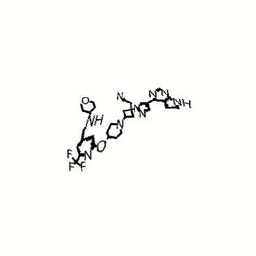 N#CCC1(n2cc(-c3ncnc4[nH]ccc34)cn2)CC(N2CCC(Oc3cc(CNC4CCOCC4)cc(C(F)(F)F)n3)CC2)C1